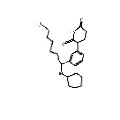 NCCCCCCC(NC1CCCCC1)c1cccc(C2CCC(=O)NC2=O)c1